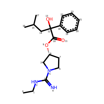 CCNC(=N)N1CC[C@@H](OC(=O)C(O)(CC(C)C)c2ccccc2)C1